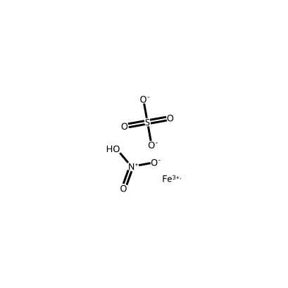 O=S(=O)([O-])[O-].O=[N+]([O-])O.[Fe+3]